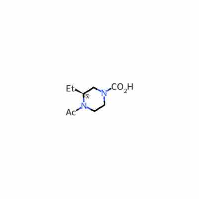 CC[C@H]1CN(C(=O)O)CCN1C(C)=O